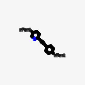 CCCCCc1ccc(C#Cc2ccc(CCCCC)cn2)cc1